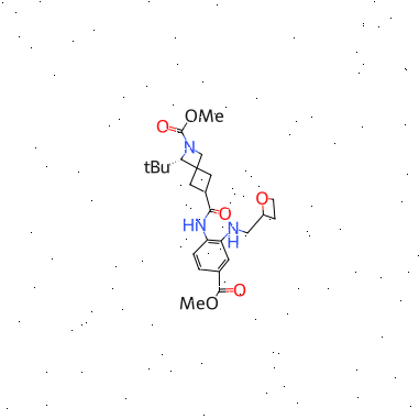 COC(=O)c1ccc(NC(=O)C2CC3(C2)CN(C(=O)OC)[C@H]3C(C)(C)C)c(NCC2CCO2)c1